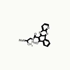 CNC(C)CNC(=O)c1c(O)c2ccccc2c2nc3ncccc3nc12